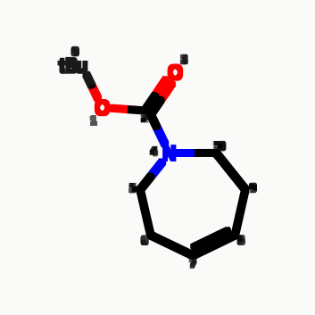 CC(C)(C)OC(=O)N1CCC=CCC1